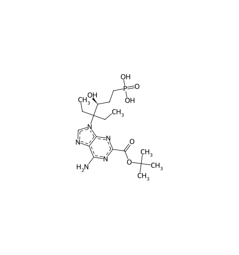 CCC(CC)([C@@H](O)CCP(=O)(O)O)n1cnc2c(N)nc(C(=O)OC(C)(C)C)nc21